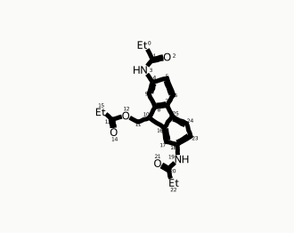 CCC(=O)Nc1ccc2c(c1)C(COC(=O)CC)c1cc(NC(=O)CC)ccc1-2